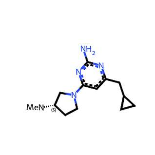 CN[C@H]1CCN(c2cc(CC3CC3)nc(N)n2)C1